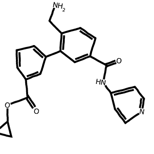 NCc1ccc(C(=O)Nc2ccncc2)cc1-c1cccc(C(=O)OC2CC2)c1